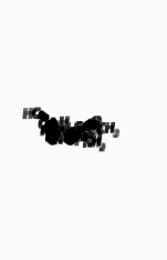 C#CCOc1cnc2c(Nc3ccc(F)c([C@@]4(C)N=C(N)S[C@@]5(C(=O)NC)CC54)c3)nccc2n1